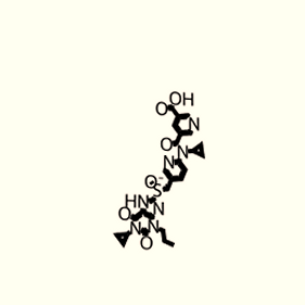 CCCn1c(=O)n(C2CC2)c(=O)c2[nH]c([S+]([O-])Cc3ccc(N(C(=O)c4cncc(C(=O)O)c4)C4CC4)nc3)nc21